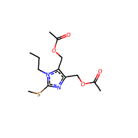 CCCn1c(SC)nc(COC(C)=O)c1COC(C)=O